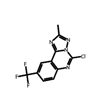 Cc1nc2c3cc(C(F)(F)F)ccc3nc(Cl)n2n1